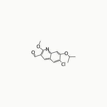 COc1nc2cc(OC(C)C)c(Cl)cc2cc1C=O